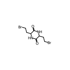 O=C1NC(CCBr)C(=O)NC1CCBr